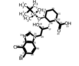 CC(C)(C)[Si](C)(C)O[C@H]1CCCN(C(=O)O)[C@@H]1CC(O)Cn1cnc2c(Cl)c(Br)ccc21